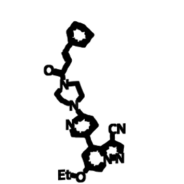 CCOc1cc(-c2ccc(N3CCN(C(=O)/C=C/c4ccccc4)CC3)nc2)c2c(C#N)cnn2c1